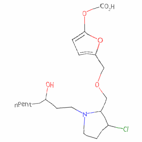 CCCCCC(O)CCN1CCC(Cl)C1COCc1ccc(OC(=O)O)o1